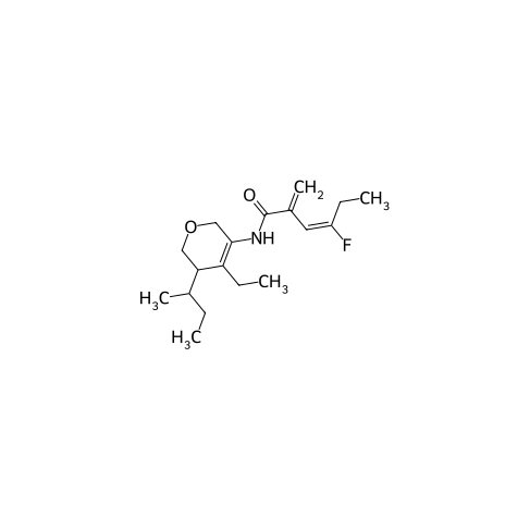 C=C(/C=C(/F)CC)C(=O)NC1=C(CC)C(C(C)CC)COC1